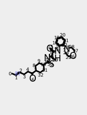 C/C=C/CCC(=O)C1CCC(c2nc(C(=O)Nc3ccccc3N3CCOCC3)cs2)CC1